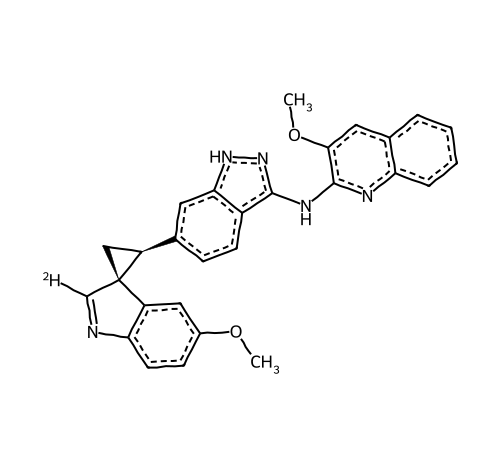 [2H]C1=Nc2ccc(OC)cc2[C@]12C[C@H]2c1ccc2c(Nc3nc4ccccc4cc3OC)n[nH]c2c1